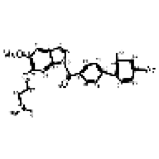 COc1cc2ccn(C(=O)c3ccc(-c4ccc(C(C)=O)cc4C)cc3)c2cc1OCCN(C)C